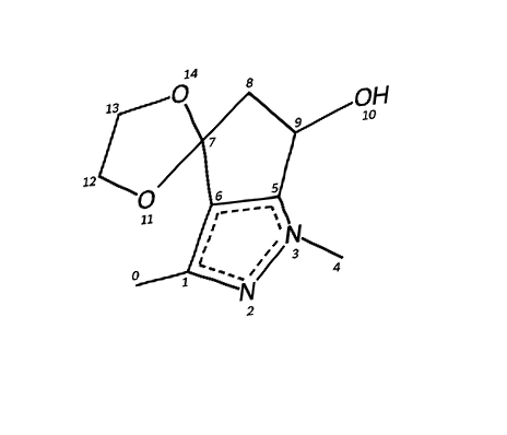 Cc1nn(C)c2c1C1(CC2O)OCCO1